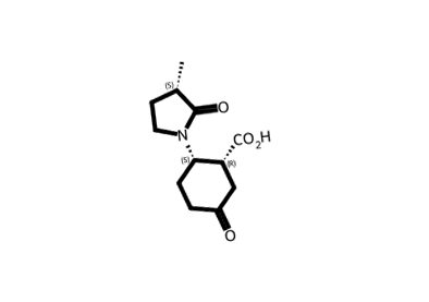 C[C@H]1CCN([C@H]2CCC(=O)C[C@H]2C(=O)O)C1=O